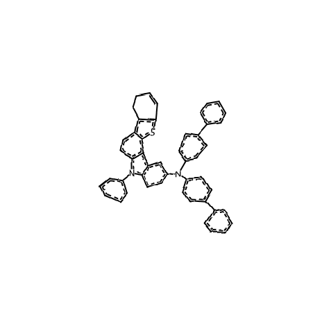 C1=Cc2sc3c(ccc4c3c3cc(N(c5ccc(-c6ccccc6)cc5)c5ccc(-c6ccccc6)cc5)ccc3n4-c3ccccc3)c2CC1